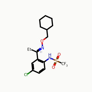 CC/C(=N\OCC1CCCCC1)c1cc(Cl)ccc1NS(=O)(=O)C(F)(F)F